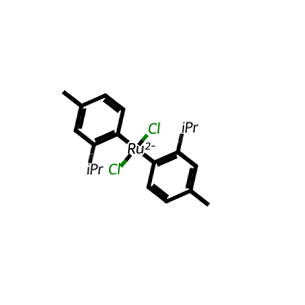 Cc1cc[c]([Ru-2]([Cl])([Cl])[c]2ccc(C)cc2C(C)C)c(C(C)C)c1